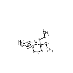 CCCC1(OC)CCC[Si](OC)(OC)O1